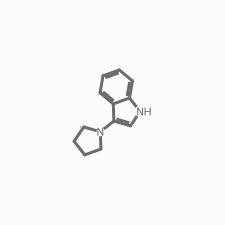 [CH]1CCCN1c1c[nH]c2ccccc12